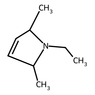 CCN1C(C)C=CC1C